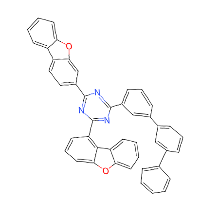 c1ccc(-c2cccc(-c3cccc(-c4nc(-c5ccc6c(c5)oc5ccccc56)nc(-c5cccc6oc7ccccc7c56)n4)c3)c2)cc1